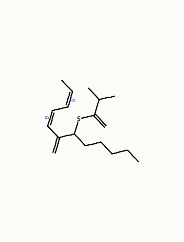 C=C(SC(CCCCC)C(=C)/C=C\C=C/C)C(C)C